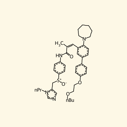 CCCCOCCOc1ccc(-c2ccc(N3CCCCCC3)c(C=C(C)C(=O)Nc3ccc([S@@+]([O-])Cc4cncn4CCC)cc3)c2)cc1